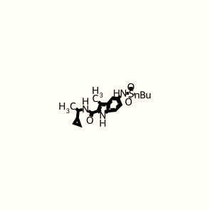 CCCCS(=O)(=O)Nc1ccc2[nH]c(C(=O)NC(C)C3CC3)c(C)c2c1